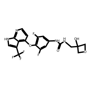 O=C(NCC1(O)COC1)Nc1cc(F)c(Oc2ccnc3[nH]cc(C(F)(F)F)c23)c(F)c1